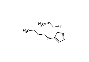 C=CCCl.CCC[CH2][Ti][C]1=CC=CC1